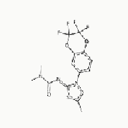 Cc1cn(-c2ccc3c(c2)OC(F)(F)C(F)(F)O3)c(=NC(=O)N(C)C)s1